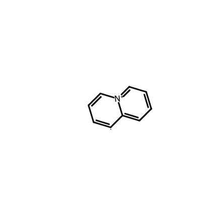 [c]1ccc[n+]2ccccc12